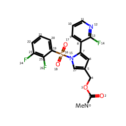 CNC(=O)OCc1cc(-c2cccnc2F)n(S(=O)(=O)c2cccc(F)c2F)c1